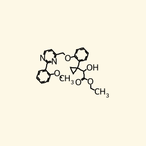 CCOC(=O)C(O)C1(c2ccccc2OCc2ccnc(-c3ccccc3OC)n2)CC1